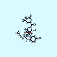 O=C1CC(C(=O)N2C[C@H]3C[C@@]45CC[C@@H]2[C@@H]3[C@@]42CCN(CC3CC3)[C@@H]5Cc3ccc(O)cc32)CC(=O)N1